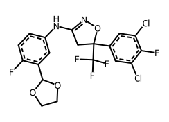 Fc1ccc(NC2=NOC(c3cc(Cl)c(F)c(Cl)c3)(C(F)(F)F)C2)cc1C1OCCO1